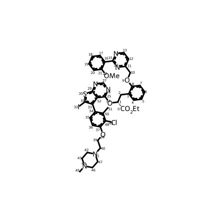 CCOC(=O)[C@@H](Cc1ccccc1OCc1ccnc(-c2ccccc2OC)n1)Oc1ncnc2sc(I)c(-c3ccc(OCCN4CCN(C)CC4)c(Cl)c3C)c12